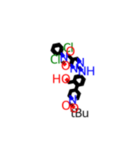 CC(C)(C)OC(=O)N1CCC(c2ccc(Nc3ncc4c(n3)OCN(c3c(Cl)cccc3Cl)C4=O)cc2CO)CC1